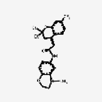 CCC1(CC)C/C(=C\C(=O)Nc2ccc3c(c2)N(C)CCO3)c2ccc(C(F)(F)F)cc2O1